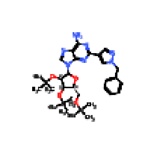 CC(C)(C)[Si](C)(C)OC[C@H]1OC(n2cnc3c(N)nc(-c4cnn(Cc5ccccc5)c4)nc32)[C@H](O[Si](C)(C)C(C)(C)C)[C@@H]1O[Si](C)(C)C(C)(C)C